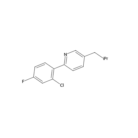 CC(C)Cc1ccc(-c2ccc(F)cc2Cl)nc1